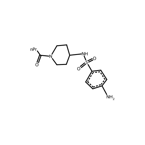 CCCC(=O)N1CCC(NS(=O)(=O)c2ccc(N)cc2)CC1